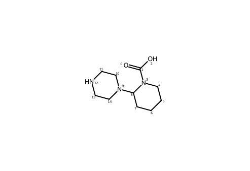 O=C(O)N1CCCCC1N1CCNCC1